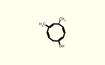 CC1=C/[C@@H](C)/C=C\C=C(\O)C/C=C\1